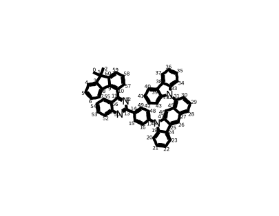 CC1(C)c2ccccc2-c2c(-c3nc(-c4ccc(-n5c6ccccc6c6cc7cccc(-n8c9ccccc9c9ccccc98)c7cc65)cc4)nc4ccccc34)cccc21